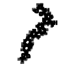 CNc1cc(N2CCc3c(-c4ncc(CN5CCC6(CCN(C(=O)OC(C)(C)C)CC6)C(F)(F)C5)cc4F)cccc32)nn2c(C(=O)N[C@@H]3CC[C@H]3OC)cnc12